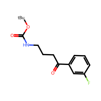 CC(C)(C)OC(=O)NCCCC(=O)c1cccc(F)c1